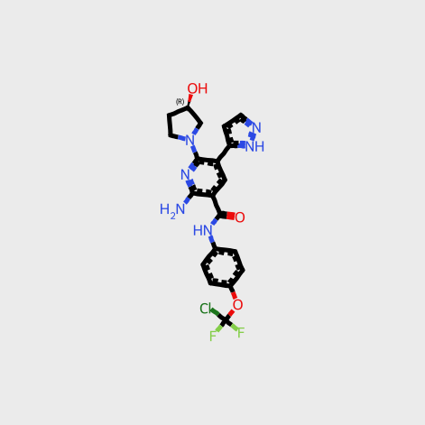 Nc1nc(N2CC[C@@H](O)C2)c(-c2ccn[nH]2)cc1C(=O)Nc1ccc(OC(F)(F)Cl)cc1